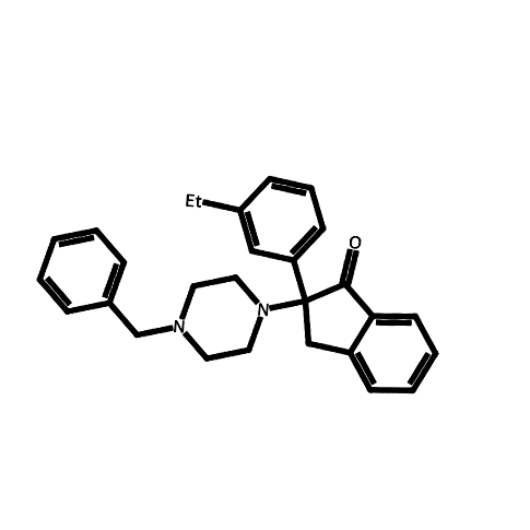 CCc1cccc(C2(N3CCN(Cc4ccccc4)CC3)Cc3ccccc3C2=O)c1